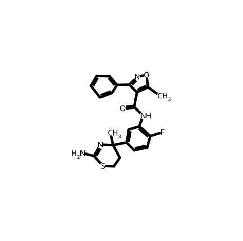 Cc1onc(-c2ccccc2)c1C(=O)Nc1cc(C2(C)CCSC(N)=N2)ccc1F